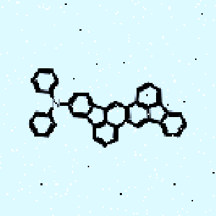 c1ccc(N(c2ccccc2)c2ccc3c(c2)c2cccc4c5cc6c7ccccc7c7cccc(c5cc3c24)c76)cc1